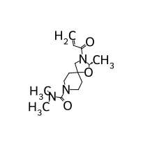 C=CC(=O)N1CC2(CCN(C(=O)N(C)C)CC2)O[C@@H]1C